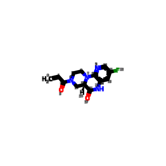 C=CC(=O)N1CCN2c3ncc(F)cc3NC(=O)[C@H]2C1